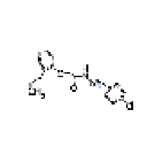 C=CCc1ccccc1OCC(=O)N/N=C/c1ccc(Cl)cc1